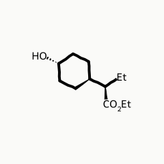 CCOC(=O)[C@H](CC)[C@H]1CC[C@H](O)CC1